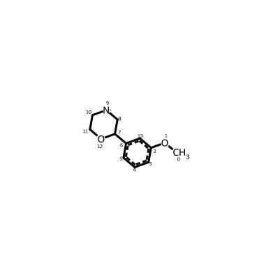 COc1cccc(C2C[N]CCO2)c1